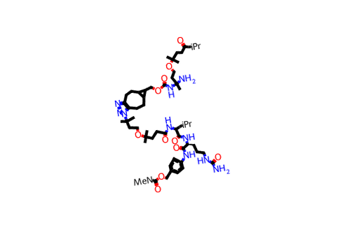 CNC(=O)OCc1ccc(NC(=O)[C@H](CCCNC(N)=O)NC(=O)C(NC(=O)CCC(C)(C)OCCC(C)(C)n2nnc3c2CCC2C(CC3)C2COC(=O)NC(C)(N)CCOC(C)(C)CCC(=O)C(C)C)C(C)C)cc1